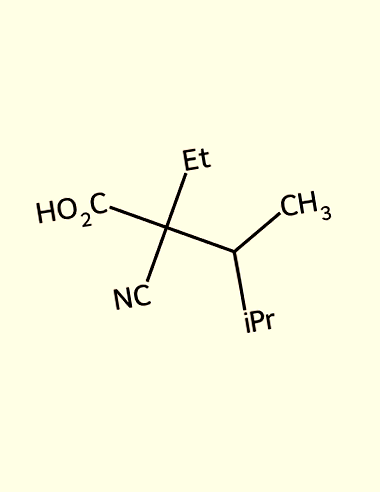 CCC(C#N)(C(=O)O)C(C)C(C)C